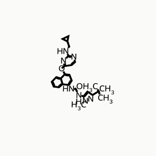 Cn1nc(C(C)(C)C)cc1NC(=O)Nc1ccc(Oc2ccnc(NCC3CC3)n2)c2ccccc12